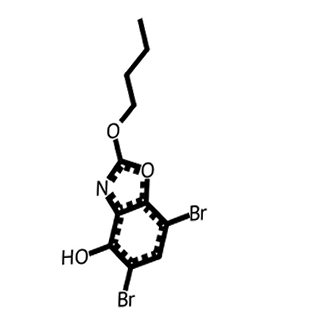 CCCCOc1nc2c(O)c(Br)cc(Br)c2o1